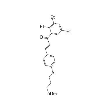 CCCCCCCCCCCCCSc1ccc(C=CC(=O)c2cc(CC)cc(CC)c2CC)cc1